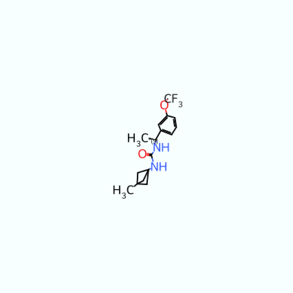 C[C@H](NC(=O)NC12CC(C)(C1)C2)c1cccc(OC(F)(F)F)c1